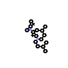 CC1(C)c2cc(N(c3cccc(-c4cccc(-c5cc(-c6ccccc6)cc(-c6ccccc6)c5)c4)c3)c3cccc(-c4cccc(-c5cc(-c6ccccc6)cc(-c6ccccc6)c5)c4)c3)ccc2-c2ccc(-n3c4ccccc4c4cc5c(cc43)C(C)(C)c3ccccc3-5)cc21